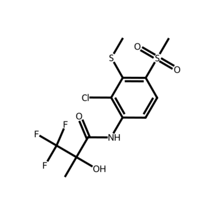 CSc1c(S(C)(=O)=O)ccc(NC(=O)C(C)(O)C(F)(F)F)c1Cl